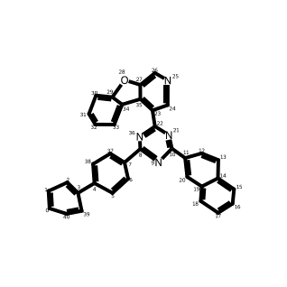 c1ccc(-c2ccc(-c3nc(-c4ccc5ccccc5c4)nc(-c4cncc5oc6ccccc6c45)n3)cc2)cc1